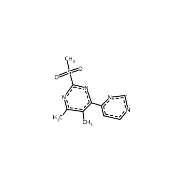 Cc1nc(S(C)(=O)=O)nc(-c2ccn[c]n2)c1C